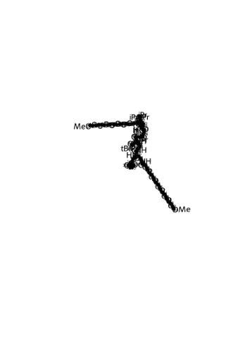 COCCOCCOCCOCCOCCOCCOCCOCCNC(=O)c1cc(NC(=O)[C@H](C)NC(=O)[C@@H](NC(=O)[C@H](CCC(=O)OC(C)(C)C)NC(=O)CCCNC(=O)[C@H](CCCCNC(=O)COCCOCCOCCOCCOCCOCCOCCOCCOCCOC)NC(=O)CCCN2C(=O)C=CC2=O)C(C)C)ccc1CO[Si](C(C)C)(C(C)C)C(C)C